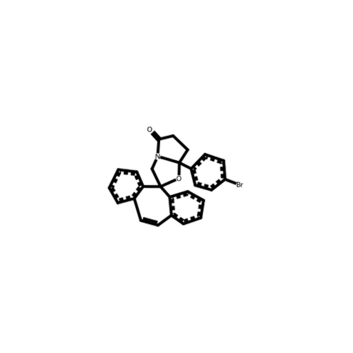 O=C1CCC2(c3ccc(Br)cc3)OC3(CN12)c1ccccc1C=Cc1ccccc13